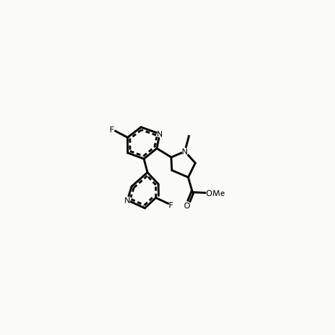 COC(=O)C1CC(c2ncc(F)cc2-c2cncc(F)c2)N(C)C1